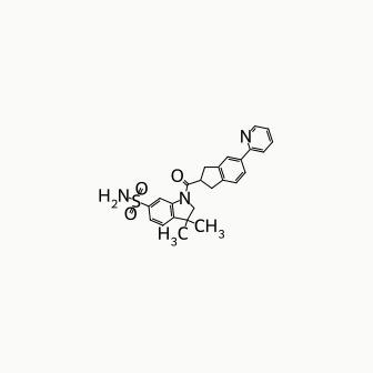 CC1(C)CN(C(=O)C2Cc3ccc(-c4ccccn4)cc3C2)c2cc(S(N)(=O)=O)ccc21